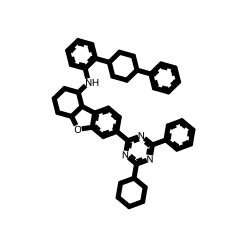 c1ccc(-c2nc(-c3ccc4c(c3)OC3CCCC(Nc5ccccc5C5CCC(c6ccccc6)CC5)C43)nc(C3CCCCC3)n2)cc1